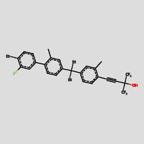 CCc1ccc(-c2ccc(C(CC)(CC)c3ccc(C#CC(O)(C(F)(F)F)C(F)(F)F)c(C)c3)cc2C)cc1F